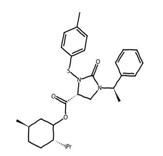 Cc1ccc(SN2C(=O)N([C@H](C)c3ccccc3)C[C@@H]2C(=O)OC2C[C@H](C)CC[C@H]2C(C)C)cc1